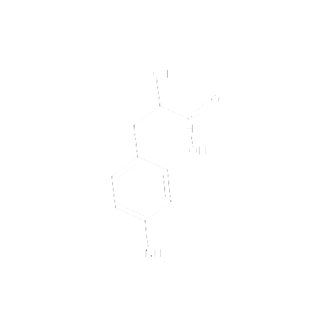 CC(Cc1ccc(N)cc1)[PH](=O)O